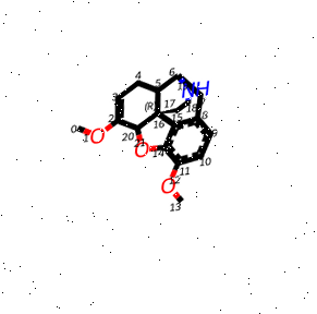 COC1=CCC2C3Cc4ccc(OC)c5c4[C@]2(CCN3)C1O5